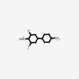 CC1CCC(C2CC(F)C(C=O)C(F)C2)CC1